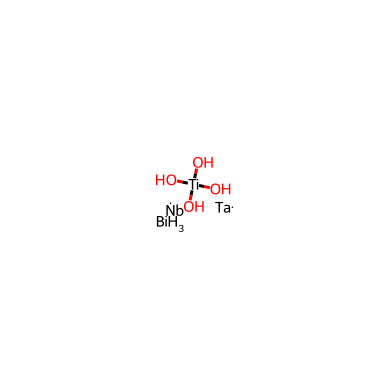 [BiH3].[Nb].[OH][Ti]([OH])([OH])[OH].[Ta]